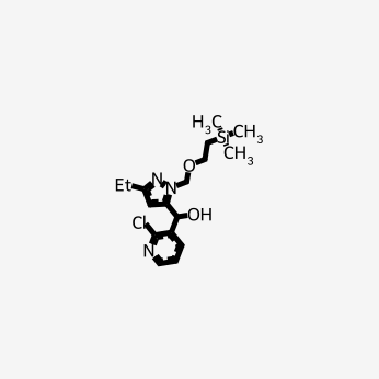 CCc1cc(C(O)c2cccnc2Cl)n(COCC[Si](C)(C)C)n1